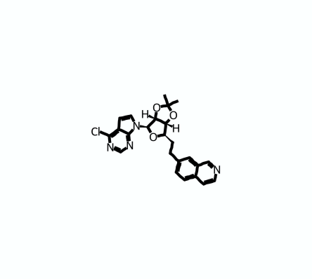 CC1(C)O[C@@H]2[C@H](O1)[C@@H](CCc1ccc3ccncc3c1)O[C@H]2n1ccc2c(Cl)ncnc21